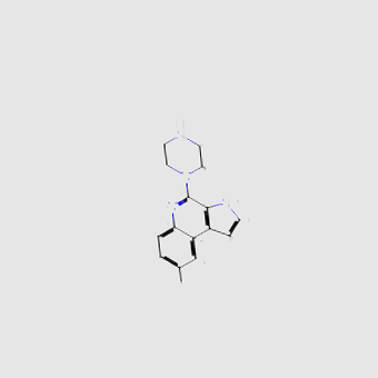 FC(F)(F)c1ccc2nc(N3CCNCC3)c3[nH]ccc3c2c1